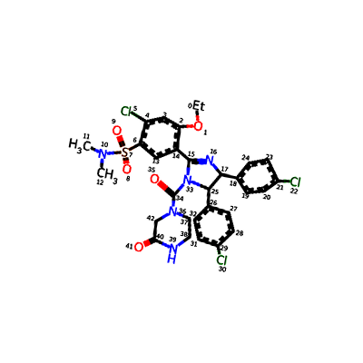 CCOc1cc(Cl)c(S(=O)(=O)N(C)C)cc1C1=NC(c2ccc(Cl)cc2)C(c2ccc(Cl)cc2)N1C(=O)N1CCNC(=O)C1